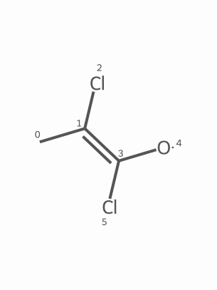 CC(Cl)=C([O])Cl